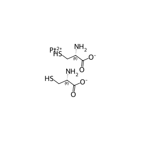 N[C@@H](CS)C(=O)[O-].N[C@@H](CS)C(=O)[O-].[Pt+2]